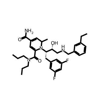 CCCN(CCC)C(=O)C1=CC(C(N)=O)=CC(C)N1[C@@H](Cc1cc(F)cc(F)c1)[C@H](O)CNCc1cccc(CC)c1